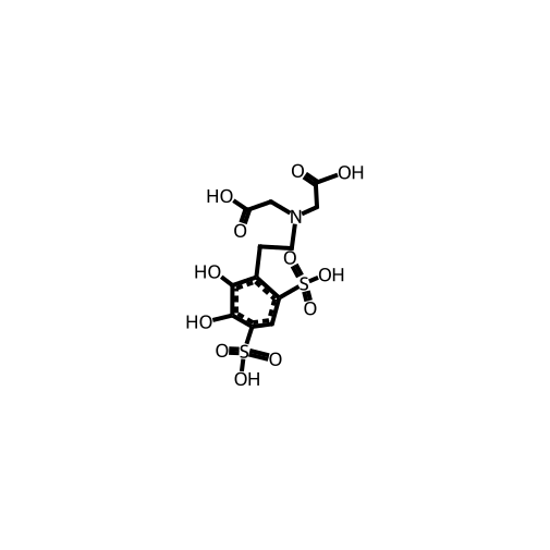 O=C(O)CN(CCc1c(S(=O)(=O)O)cc(S(=O)(=O)O)c(O)c1O)CC(=O)O